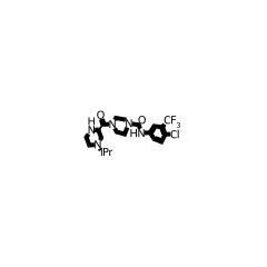 CC(C)N1CCN[C@@H](C(=O)N2CCN(C(=O)Nc3ccc(Cl)c(C(F)(F)F)c3)CC2)C1